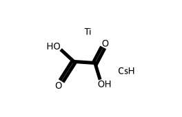 O=C(O)C(=O)O.[CsH].[Ti]